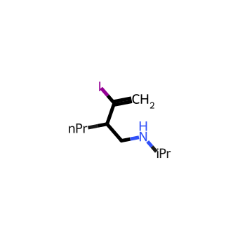 C=C(I)C(CCC)CNC(C)C